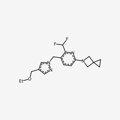 CCOCc1cnn(Cc2ccc(N3CC4(CC4)C3)nc2C(F)F)c1